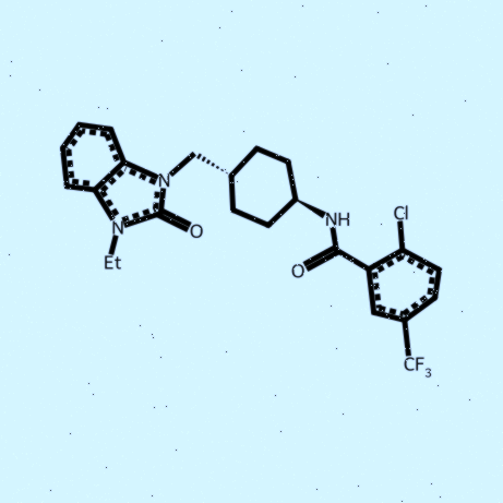 CCn1c(=O)n(C[C@H]2CC[C@H](NC(=O)c3cc(C(F)(F)F)ccc3Cl)CC2)c2ccccc21